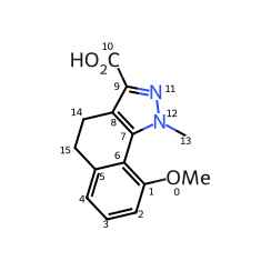 COc1cccc2c1-c1c(c(C(=O)O)nn1C)CC2